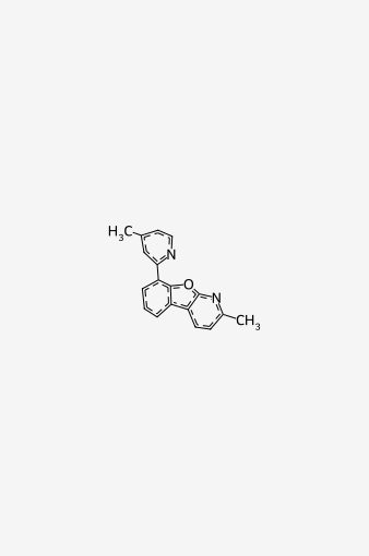 Cc1ccnc(-c2cccc3c2oc2nc(C)ccc23)c1